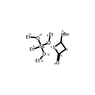 CCCCC1CC(=O)S1.CCO[Si](CC)(OCC)OCC